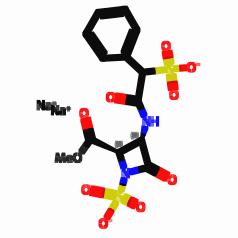 COC(=O)[C@H]1[C@@H](NC(=O)C(c2ccccc2)S(=O)(=O)[O-])C(=O)N1S(=O)(=O)[O-].[Na+].[Na+]